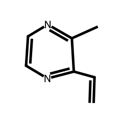 C=Cc1nccnc1C